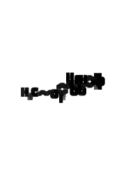 CCCCCOc1ccc(NC(=O)N(S)C(=O)c2ccc3nonc3c2)cc1F